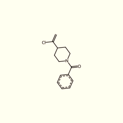 C=C(Cl)C1CCN(C(=O)c2ccccc2)CC1